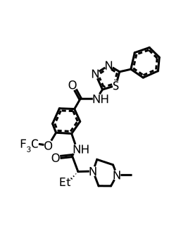 CC[C@H](C(=O)Nc1cc(C(=O)Nc2nnc(-c3ccccc3)s2)ccc1OC(F)(F)F)N1CCN(C)CC1